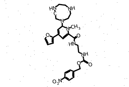 CN1C(C(=O)NCCNC(=O)OCc2ccc([N+](=O)[O-])cc2)=CC(c2ccco2)=CC1N1CCNCCNCC1